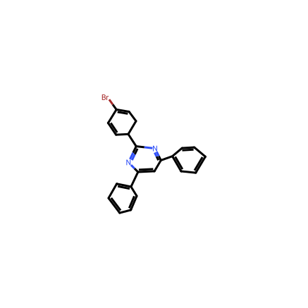 BrC1=CCC(c2nc(-c3ccccc3)cc(-c3ccccc3)n2)C=C1